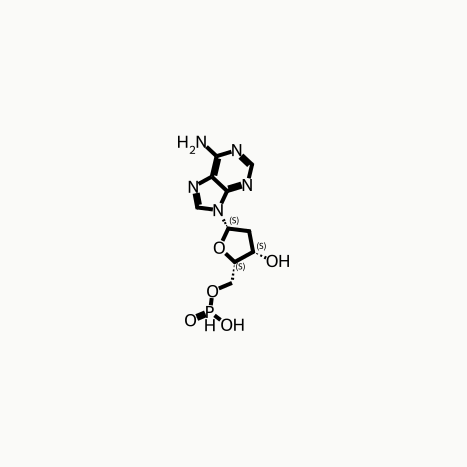 Nc1ncnc2c1ncn2[C@@H]1C[C@H](O)[C@H](CO[PH](=O)O)O1